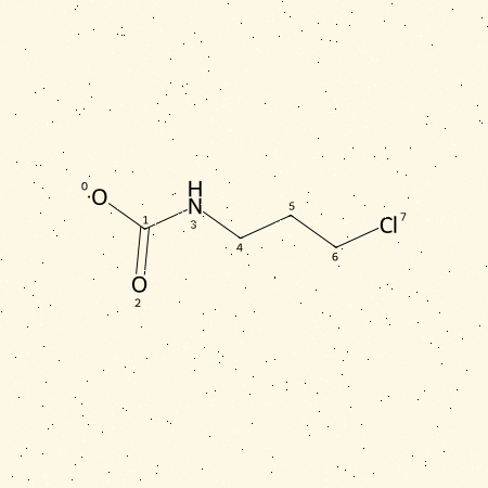 [O]C(=O)NCCCCl